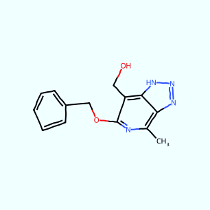 Cc1nc(OCc2ccccc2)c(CO)c2[nH]nnc12